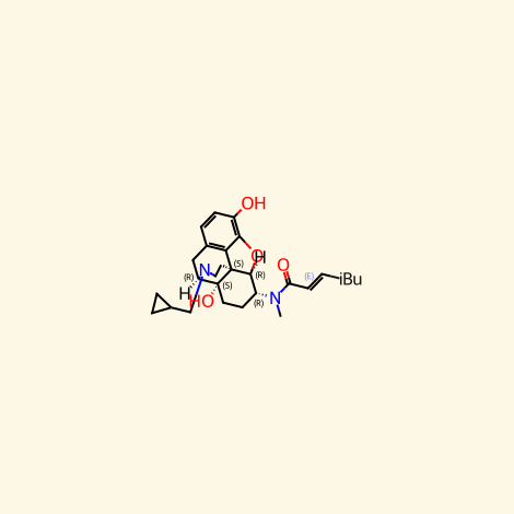 CCC(C)/C=C/C(=O)N(C)[C@@H]1CC[C@@]2(O)[C@H]3Cc4ccc(O)c5c4[C@@]2(CCN3CC2CC2)[C@H]1O5